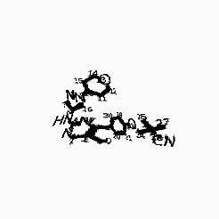 Cc1cnc(Nc2cnn(C3CCOCC3)c2)nc1-c1ccc(OCC(C)(C)C#N)cc1